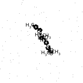 Cc1ccc([C@H]2CC[C@H](CNc3ncnc(C(=O)N4CCC(N5CCC(N(C)S(C)(=O)=O)CC5)CC4)c3C)O2)cc1